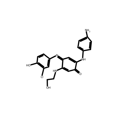 Nc1ccc(NC2=C/C(=N/c3ccc(O)c(Cl)c3)C(NCCO)=CC2=O)cc1